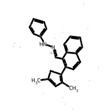 CC1=CC(C)=C(c2ccc3ccccc3c2/C=N/Nc2ccccc2)C1